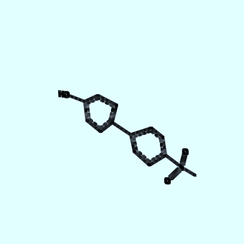 CS(=O)(=O)c1ccc(-c2ccc(O)cc2)cc1